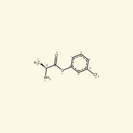 C[C@H](N)C(=O)Oc1cccc(C(F)(F)F)c1